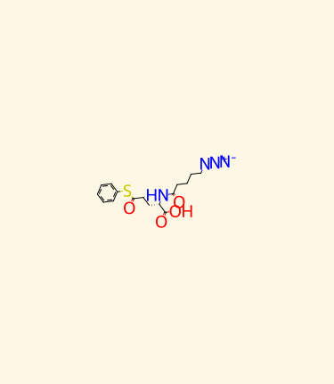 [N-]=[N+]=NCCCCC(=O)N[C@@H](CCC(=O)Sc1ccccc1)C(=O)O